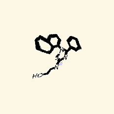 OCC/N=c1/nc(-c2ccccc2)n(-c2cccc3ccccc23)s1